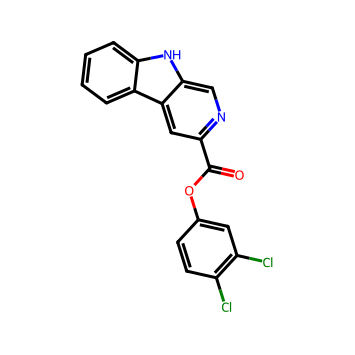 O=C(Oc1ccc(Cl)c(Cl)c1)c1cc2c(cn1)[nH]c1ccccc12